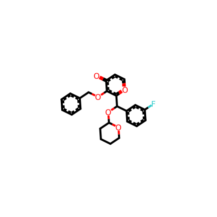 O=c1ccoc(C(OC2CCCCO2)c2cccc(F)c2)c1OCc1ccccc1